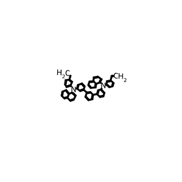 C=Cc1cccc(N(c2cccc(-c3cccc(-c4cccc(N(c5cccc(C=C)c5)c5cccc6ccccc56)c4)c3)c2)c2cccc3ccccc23)c1